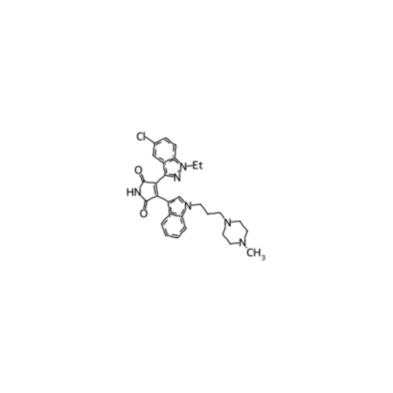 CCn1nc(C2=C(c3cn(CCCN4CCN(C)CC4)c4ccccc34)C(=O)NC2=O)c2cc(Cl)ccc21